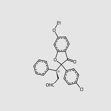 CCOc1ccc2c(c1)OC(c1ccc(Cl)cc1)([C@@H](CC=O)c1ccccc1)C2=O